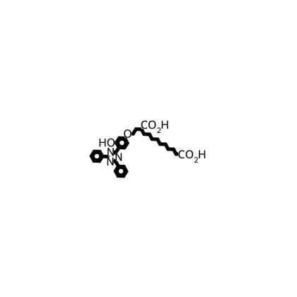 O=C(O)CCCCCCCCCC(CCOc1ccc(-c2nc(-c3ccccc3)nc(-c3ccccc3)n2)c(O)c1)C(=O)O